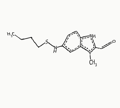 CCCCSNc1ccc2[nH]c(C=O)c(C)c2c1